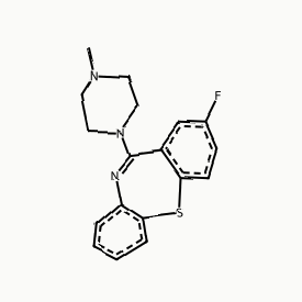 CN1CCN(C2=Nc3ccccc3Sc3ccc(F)cc32)CC1